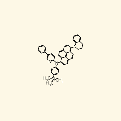 C[Si](C)(C)c1ccc(N(c2ccc(-c3ccccc3)cn2)c2ccc3ccc4c(N5CCCc6ccccc65)ccc5ccc2c3c54)cc1